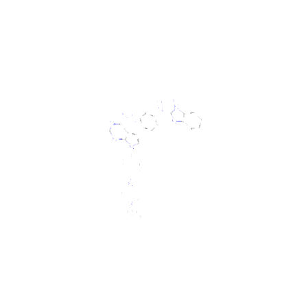 CN1CCN(C2CCC(n3cc(-c4ccc(Nc5nc6ccccc6[nH]5)cc4)c4c(N)ncnc43)CC2)CC1